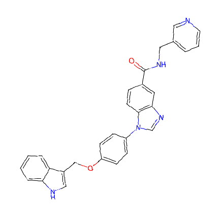 O=C(NCc1cccnc1)c1ccc2c(c1)ncn2-c1ccc(OCc2c[nH]c3ccccc23)cc1